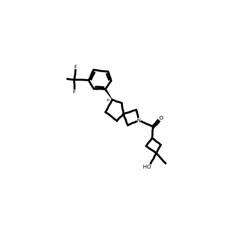 CC1(O)CC(C(=O)N2CC3(CC[C@@H](c4cccc(C(C)(F)F)c4)C3)C2)C1